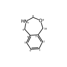 c1ccc2c(c1)CNCOC2